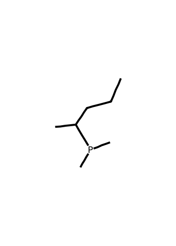 CCCC(C)P(C)C